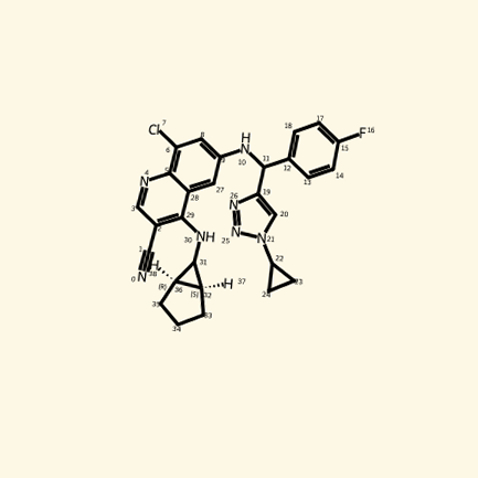 N#Cc1cnc2c(Cl)cc(NC(c3ccc(F)cc3)c3cn(C4CC4)nn3)cc2c1NC1[C@H]2CCC[C@@H]12